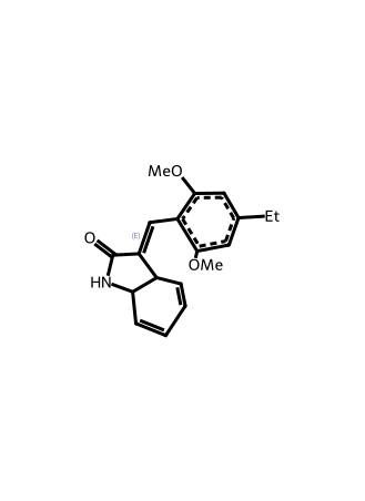 CCc1cc(OC)c(/C=C2/C(=O)NC3C=CC=CC23)c(OC)c1